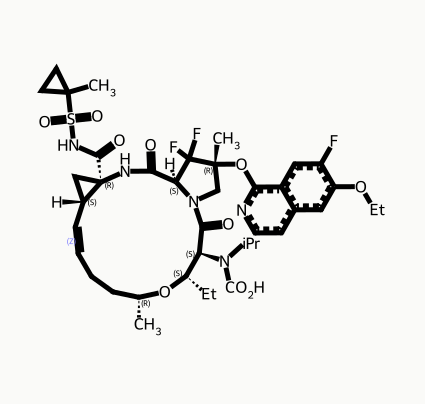 CCOc1cc2ccnc(O[C@]3(C)CN4C(=O)[C@@H](N(C(=O)O)C(C)C)[C@H](CC)O[C@H](C)CC/C=C\[C@@H]5C[C@@]5(C(=O)NS(=O)(=O)C5(C)CC5)NC(=O)[C@H]4C3(F)F)c2cc1F